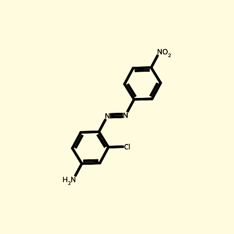 Nc1ccc(N=Nc2ccc([N+](=O)[O-])cc2)c(Cl)c1